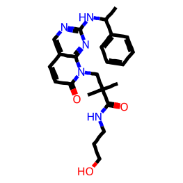 CC(Nc1ncc2ccc(=O)n(CC(C)(C)C(=O)NCCCO)c2n1)c1ccccc1